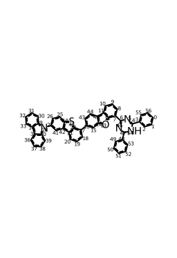 c1ccc(C2=NC(c3cccc4c3oc3cc(-c5cccc6c5sc5ccc(-n7c8ccccc8c8ccccc87)cc56)ccc34)=NC(c3ccccc3)N2)cc1